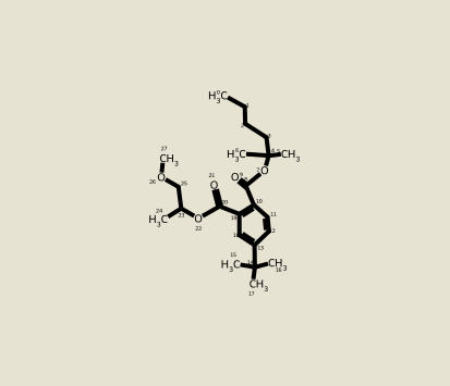 CCCCC(C)(C)OC(=O)c1ccc(C(C)(C)C)cc1C(=O)OC(C)COC